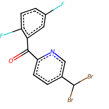 O=C(c1ccc(C(Br)Br)cn1)c1cc(F)ccc1F